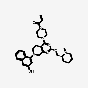 C=CC(=O)N1CCN(c2nc(OC[C@@H]3CCCCN3C)nc3c2CCN(c2cc(O)cc4ccccc24)C3)CC1